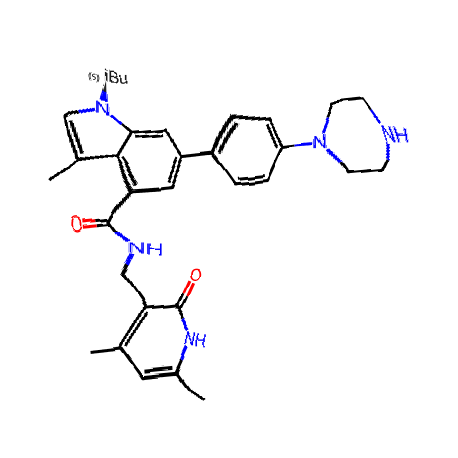 CC[C@H](C)n1cc(C)c2c(C(=O)NCc3c(C)cc(C)[nH]c3=O)cc(-c3ccc(N4CCNCC4)cc3)cc21